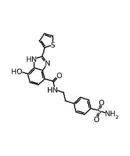 NS(=O)(=O)c1ccc(CCNC(=O)c2ccc(O)c3[nH]c(-c4cccs4)nc23)cc1